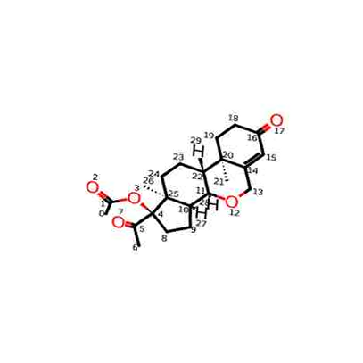 CC(=O)O[C@]1(C(C)=O)CC[C@H]2[C@@H]3OCC4=CC(=O)CC[C@]4(C)[C@H]3CC[C@@]21C